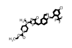 CCOC(=O)N1CCC(N(C)C2=NC(=O)C(=Cc3ccc4c(cnn4Cc4ccc(Cl)cc4C(F)(F)F)c3)S2)CC1